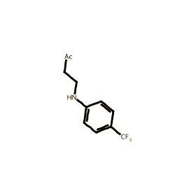 CC(=O)CCNc1ccc(C(F)(F)F)cc1